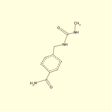 CNC(=O)NCc1ccc(C(N)=O)cc1